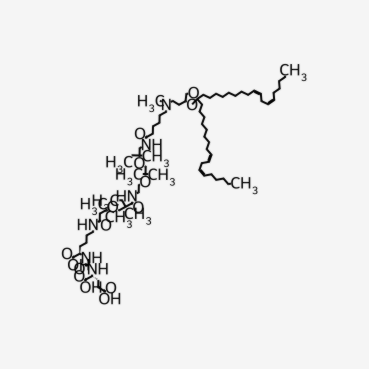 CCCCC/C=C\C/C=C\CCCCCCCCC1(CCCCCCCC/C=C\C/C=C\CCCCC)OCC(CCN(C)CCCCCC(=O)NCC(C)(CC)OCC(C)(C)OCCNC(=O)C(C)(CC)COC(C)(C)CC(=O)NCCCC[C@@H](NC(=O)N[C@H](CCC(=O)O)C(=O)O)C(=O)O)O1